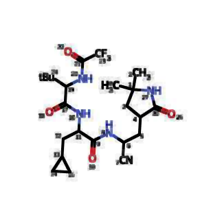 CC1(C)CC(CC(C#N)NC(=O)C(CC2CC2)NC(=O)C(NC(=O)C(F)(F)F)C(C)(C)C)C(=O)N1